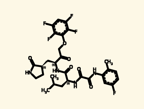 Cc1ccc(F)cc1NC(=O)C(=O)N[C@@H](CC(C)C)C(=O)N[C@@H](C[C@@H]1CCNC1=O)C(=O)COc1c(F)c(F)cc(F)c1F